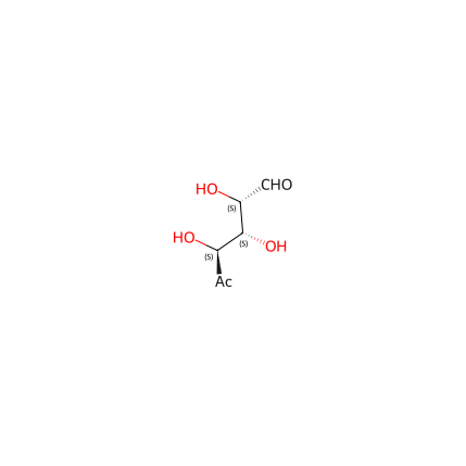 CC(=O)[C@@H](O)[C@@H](O)[C@H](O)C=O